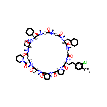 CC(C)C[C@H]1C(=O)N[C@@H](C2CCCCC2)C(=O)N(C)CC(=O)N(C)CC(=O)N(C)[C@@H](CC2CCCCC2)C(=O)N(C)CC(=O)N[C@@H](CCc2ccc(C(F)(F)F)c(Cl)c2)C(=O)N2CCC[C@H]2C(=O)NC2(CCCC2)C(=O)N(C)[C@@H](C(C)C)C(=O)N(C)[C@H](C(=O)N2CCCCC2)CC(=O)N1C